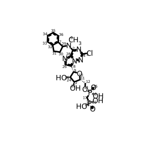 CN(c1nc(Cl)nn2c([C@@H]3O[C@H](COP(=O)(O)CP(=O)(O)O)[C@@H](O)[C@H]3O)cnc12)C1CCc2ccccc21